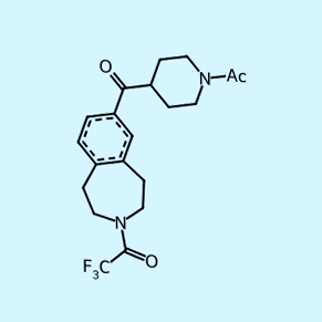 CC(=O)N1CCC(C(=O)c2ccc3c(c2)CCN(C(=O)C(F)(F)F)CC3)CC1